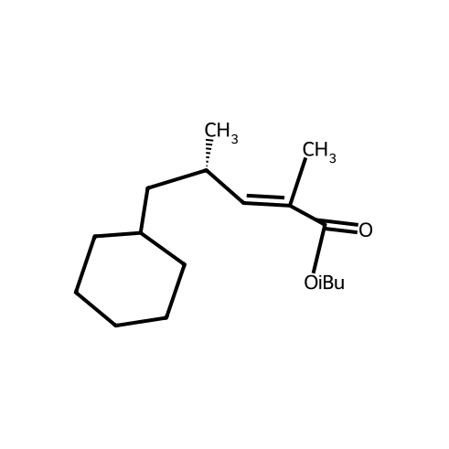 C/C(=C\[C@@H](C)CC1CCCCC1)C(=O)OCC(C)C